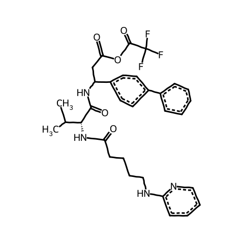 CC(C)[C@@H](NC(=O)CCCCNc1ccccn1)C(=O)NC(CC(=O)OC(=O)C(F)(F)F)c1ccc(-c2ccccc2)cc1